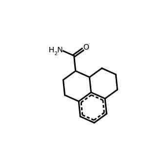 NC(=O)C1CCc2cccc3c2C1CCC3